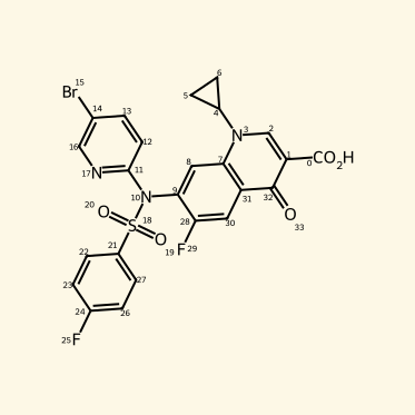 O=C(O)c1cn(C2CC2)c2cc(N(c3ccc(Br)cn3)S(=O)(=O)c3ccc(F)cc3)c(F)cc2c1=O